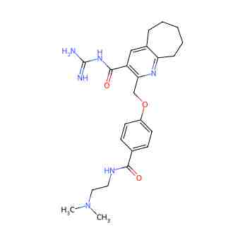 CN(C)CCNC(=O)c1ccc(OCc2nc3c(cc2C(=O)NC(=N)N)CCCCC3)cc1